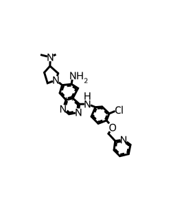 CN(C)C1CCN(c2cc3ncnc(Nc4ccc(OCc5ccccn5)c(Cl)c4)c3cc2N)C1